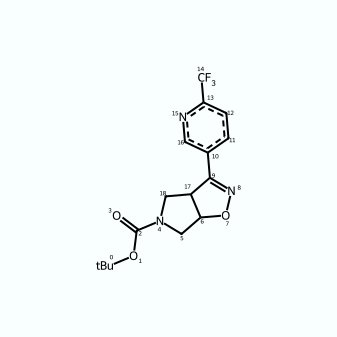 CC(C)(C)OC(=O)N1CC2ON=C(c3ccc(C(F)(F)F)nc3)C2C1